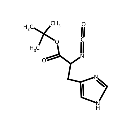 CC(C)(C)OC(=O)C(Cc1c[nH]cn1)N=C=O